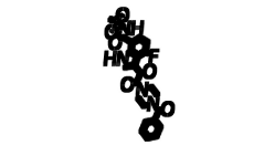 CS(=O)(=O)NC(=O)c1ccc(F)c2c(C(=O)C(=O)N3CCN(C(=O)c4ccccc4)CC3)c[nH]c12